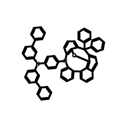 c1ccc(-c2cccc(N(c3ccc(N4c5ccccc5-c5cccc6ccc7c(c56)Oc5c4cccc5C7(c4ccccc4)c4ccccc4)cc3)c3cccc(-c4ccccc4)c3)c2)cc1